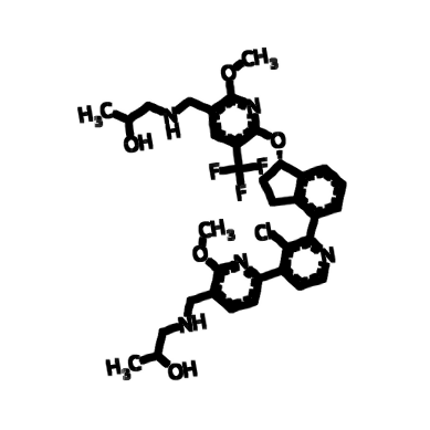 COc1nc(-c2ccnc(-c3cccc4c3CC[C@@H]4Oc3nc(OC)c(CNCC(C)O)cc3C(F)(F)F)c2Cl)ccc1CNCC(C)O